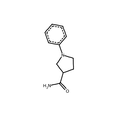 NC(=O)C1CCN(c2ccccc2)C1